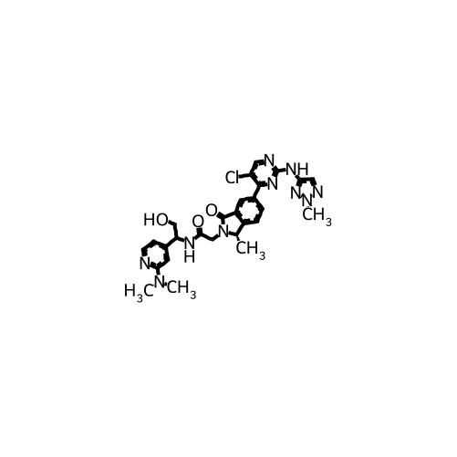 C[C@@H]1c2ccc(-c3nc(Nc4cnn(C)n4)ncc3Cl)cc2C(=O)N1CC(=O)NC(CO)c1ccnc(N(C)C)c1